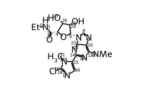 CCNC(=O)[C@H]1O[C@@H](n2cnc3c(NC)nc(-c4cnc(Cl)n4C)nc32)[C@H](O)[C@@H]1O